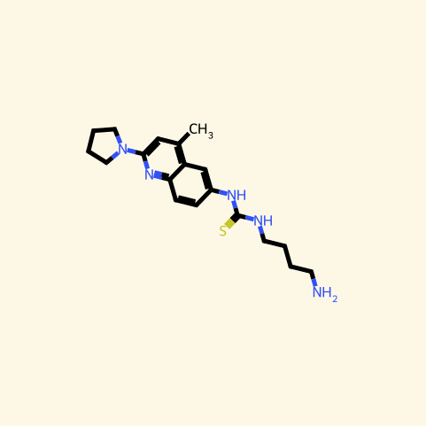 Cc1cc(N2CCCC2)nc2ccc(NC(=S)NCCCCN)cc12